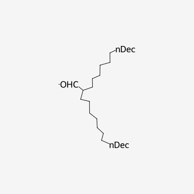 CCCCCCCCCCCCCCCCCC([C]=O)CCCCCCCCCCCCCCCC